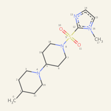 CC1CCN(C2CCN(S(=O)(=O)c3nccn3C)CC2)CC1